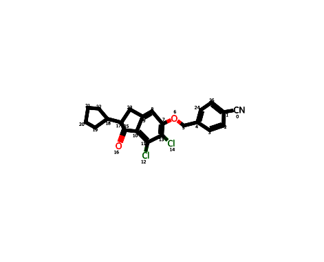 N#Cc1ccc(COc2cc3c(c(Cl)c2Cl)C(=O)C(C2CCCC2)C3)cc1